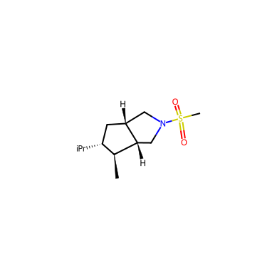 CC(C)[C@@H]1C[C@@H]2CN(S(C)(=O)=O)C[C@@H]2[C@H]1C